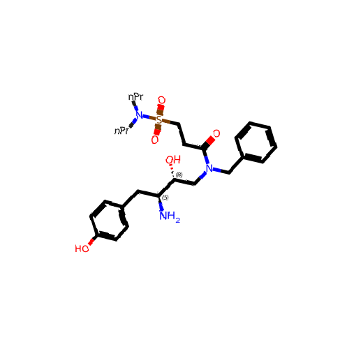 CCCN(CCC)S(=O)(=O)CCC(=O)N(Cc1ccccc1)C[C@@H](O)[C@@H](N)Cc1ccc(O)cc1